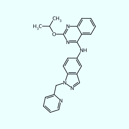 CC(C)Oc1nc(Nc2ccc3c(cnn3Cc3ccccn3)c2)c2ccccc2n1